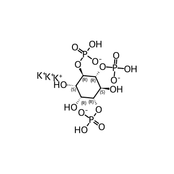 O=P([O-])(O)O[C@@H]1[C@H](O)[C@H](O)[C@@H](OP(=O)([O-])O)[C@H](OP(=O)([O-])O)[C@H]1O.[K+].[K+].[K+]